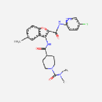 CN(C)C(=O)N1CCC(C(=O)Nc2c(C(=O)Nc3ccc(Cl)cn3)oc3ccc(C(=O)O)cc23)CC1